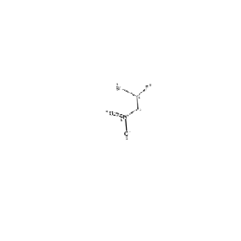 O=[N+]([O-])CC(F)Br